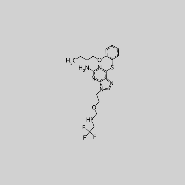 CCCCOc1ccccc1Sc1nc(N)nc2c1ncn2CCOCPCC(F)(F)F